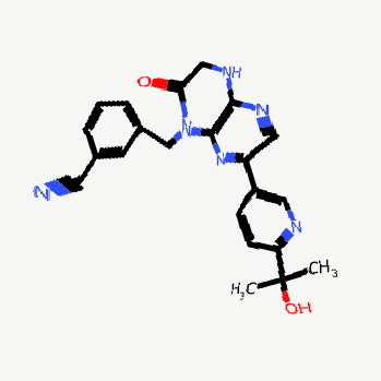 CC(C)(O)c1ccc(-c2cnc3c(n2)N(Cc2cccc(C#N)c2)C(=O)CN3)cn1